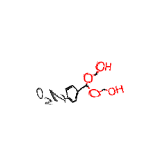 O=[N+]([O-])c1ccc(C(OCO)OCO)cc1